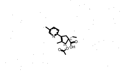 CC[C@@]1(C(=O)O)CC(c2ccc(C)cn2)=C(C)[C@H]1OC(C)=O